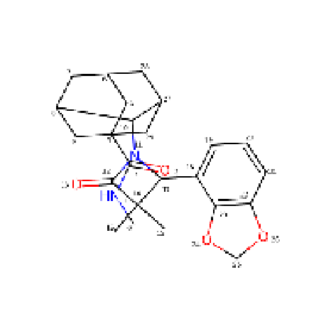 CNC(=O)C12CC3CC(C1)C(N1C(=O)C(C)(C)C1c1cccc4c1OCO4)C(C3)C2